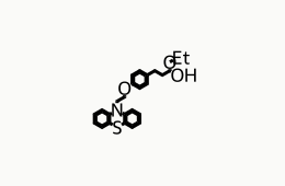 CCOC(O)CCc1ccc(OCCN2c3ccccc3Sc3ccccc32)cc1